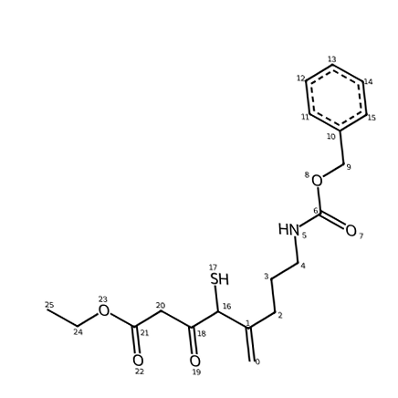 C=C(CCCNC(=O)OCc1ccccc1)C(S)C(=O)CC(=O)OCC